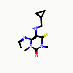 C/C=N\c1c(NCC2CC2)c(=S)n(C)c(=O)n1C